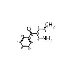 C=CCC(CN)C(=O)c1ccccc1